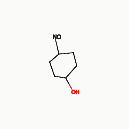 O=NC1CCC(O)CC1